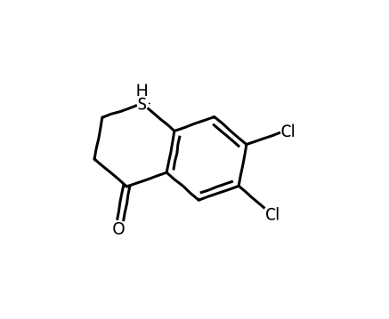 O=C1CC[SH]c2cc(Cl)c(Cl)cc21